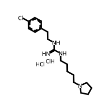 Cl.Cl.N=C(NCCCCCN1CCCC1)NCCc1ccc(Cl)cc1